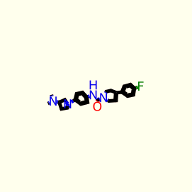 CN(C)C1CCN(c2ccc(NC(=O)N3CC=C(c4ccc(F)cc4)CC3)cc2)C1